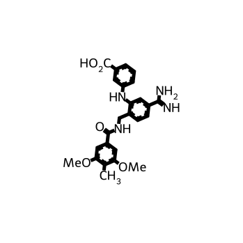 COc1cc(C(=O)NCc2ccc(C(=N)N)cc2Nc2cccc(C(=O)O)c2)cc(OC)c1C